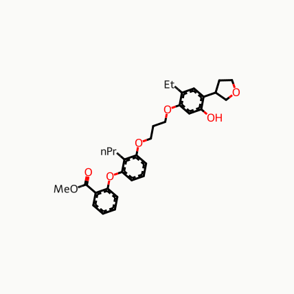 CCCc1c(OCCCOc2cc(O)c(C3CCOC3)cc2CC)cccc1Oc1ccccc1C(=O)OC